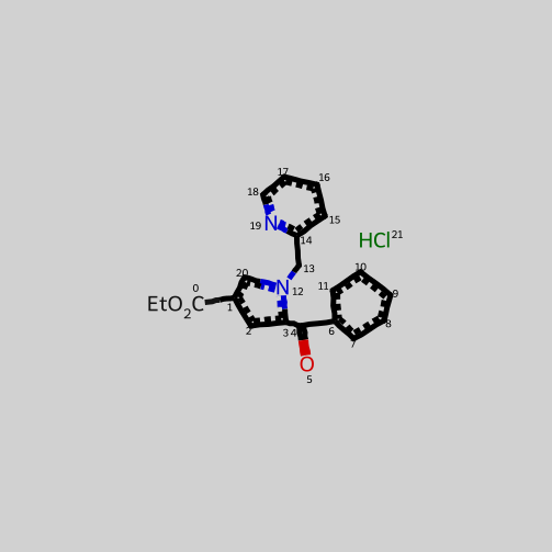 CCOC(=O)c1cc(C(=O)c2ccccc2)n(Cc2ccccn2)c1.Cl